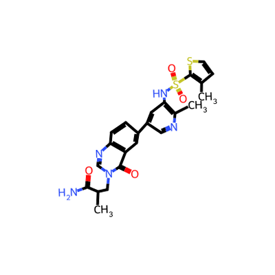 Cc1ccsc1S(=O)(=O)Nc1cc(-c2ccc3ncn(CC(C)C(N)=O)c(=O)c3c2)cnc1C